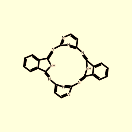 c1ccc2c3nc4nccc(n4)nc4[nH]c(nc5nccc(n5)nc([nH]3)c2c1)c1ccccc41